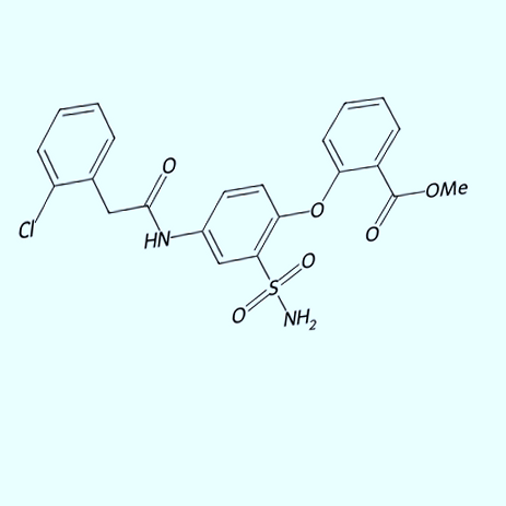 COC(=O)c1ccccc1Oc1ccc(NC(=O)Cc2ccccc2Cl)cc1S(N)(=O)=O